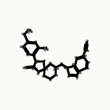 COc1cc(C)c(N2C[C@@]3(CCC[C@H](Cn4cnc5ccc(C#N)cc54)C3)OC2=O)cn1